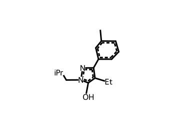 CCc1c(-c2cccc(C)c2)nn(CC(C)C)c1O